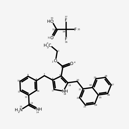 CCOC(=O)c1c(Cc2cccc(C(=N)N)c2)c[nH]c1Cc1cccc2ccccc12.O=C(O)C(F)(F)F